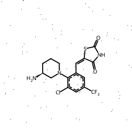 N[C@H]1CCCN(c2c(Cl)cc(C(F)(F)F)cc2C=C2SC(=O)NC2=O)C1